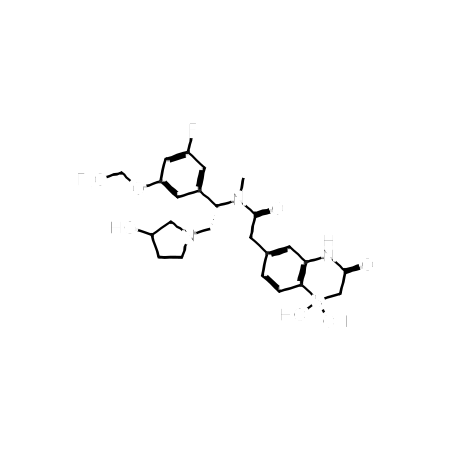 CN(C(=O)Cc1ccc2c(c1)NC(=O)CS2(O)O)[C@H](CN1CCC(O)C1)c1cc(F)cc(OCC(F)(F)F)c1